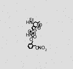 CCN[C@H]1CC(C)S(=O)(=O)c2sc(S(=O)(=O)NC(=O)OCc3ccccc3CO[N+](=O)[O-])cc21